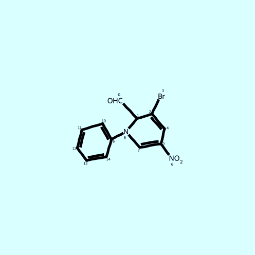 O=CC1C(Br)=CC([N+](=O)[O-])=CN1c1ccccc1